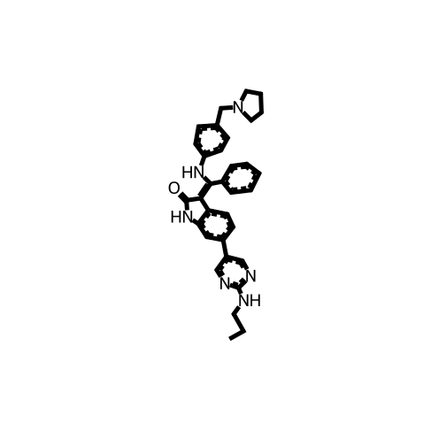 CCCNc1ncc(-c2ccc3c(c2)NC(=O)/C3=C(\Nc2ccc(CN3CCCC3)cc2)c2ccccc2)cn1